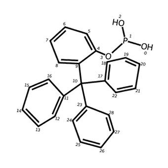 OP(O)Oc1ccccc1C(c1ccccc1)(c1ccccc1)c1ccccc1